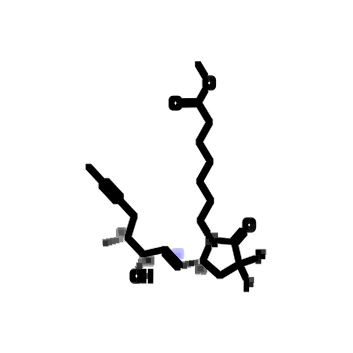 CC#CC[C@@H](C)[C@@H](O)/C=C/[C@H]1CC(F)(F)C(=O)N1CCCCCCC(=O)OC